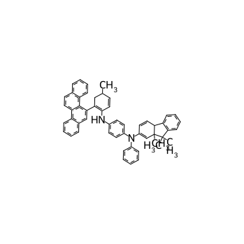 CC1C=CC(Nc2ccc(N(C3=CC4(C)C(C=C3)c3ccccc3C4(C)C)c3ccccc3)cc2)=C(c2cc3ccccc3c3ccc4ccccc4c23)C1